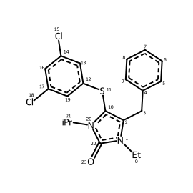 CCn1c(Cc2ccccc2)c(Sc2cc(Cl)cc(Cl)c2)n(C(C)C)c1=O